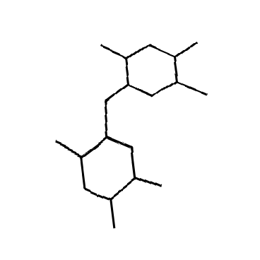 CC1CC(C)C(CC2CC(C)C(C)CC2C)CC1C